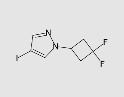 FC1(F)CC(n2cc(I)cn2)C1